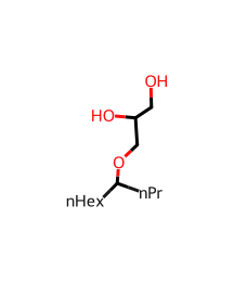 CCCCCCC(CCC)OCC(O)CO